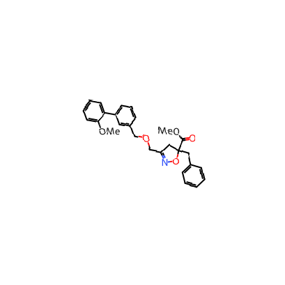 COC(=O)C1(Cc2ccccc2)CC(COCc2cccc(-c3ccccc3OC)c2)=NO1